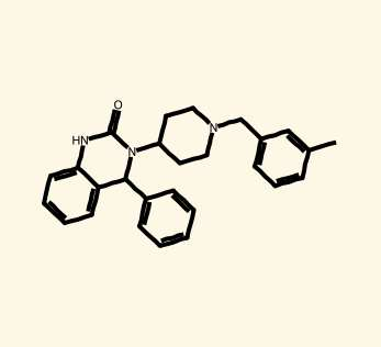 Cc1cccc(CN2CCC(N3C(=O)Nc4ccccc4C3c3ccccc3)CC2)c1